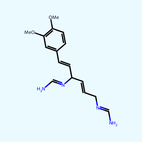 COc1ccc(/C=C/C(/C=C/CN=CN)N=CN)cc1OC